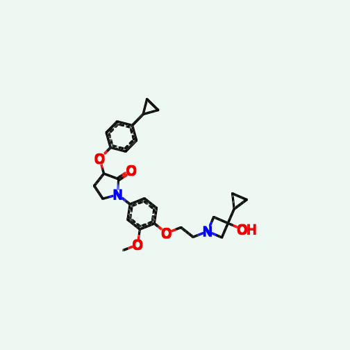 COc1cc(N2CCC(Oc3ccc(C4CC4)cc3)C2=O)ccc1OCCN1CC(O)(C2CC2)C1